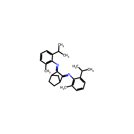 Cc1cccc(C(C)C)c1N=C1C(=Nc2c(C)cccc2C(C)C)C2CCC1C2